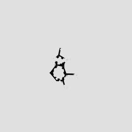 Cc1nc2ccc(N)c([N+](=O)[O-])c2[nH]1